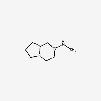 CNN1CCN2CCCC2C1